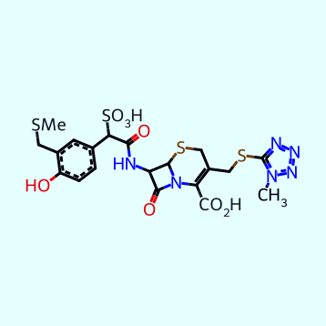 CSCc1cc(C(C(=O)NC2C(=O)N3C(C(=O)O)=C(CSc4nnnn4C)CSC23)S(=O)(=O)O)ccc1O